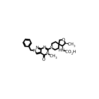 C[C@@H]1OCC2(CCN(c3nc4nn(Cc5ccccc5)cc4c(=O)n3C)CC2)[C@@H]1NC(=O)O